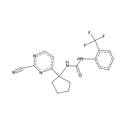 N#Cc1nccc(C2(NC(=O)Nc3ccccc3C(F)(F)F)CCCC2)n1